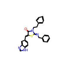 O=C1/C(=C/c2ccc3[nH]cnc3c2)S/C(=N\Cc2ccccc2)N1CCc1ccccc1